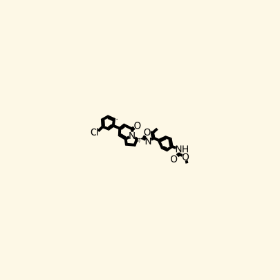 COC(=O)Nc1ccc(-c2nc([C@@H]3CCc4cc(-c5[c]ccc(Cl)c5)cc(=O)n43)oc2C)cc1